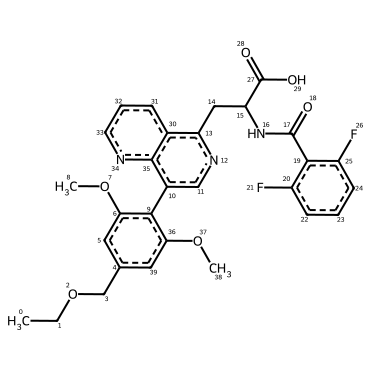 CCOCc1cc(OC)c(-c2cnc(CC(NC(=O)c3c(F)cccc3F)C(=O)O)c3cccnc23)c(OC)c1